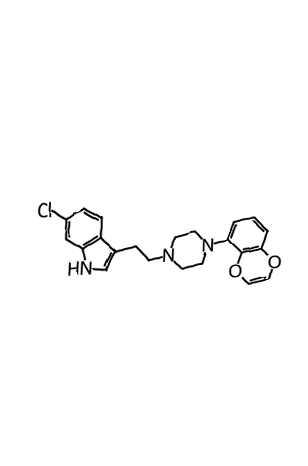 Clc1ccc2c(CCN3CCN(c4cccc5c4OC=CO5)CC3)c[nH]c2c1